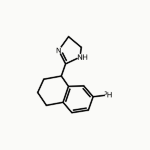 [3H]c1ccc2c(c1)C(C1=NCCN1)CCC2